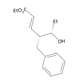 CCOC(=O)/C=C/[C@@H](Cc1ccccc1)[C@@H](O)CC